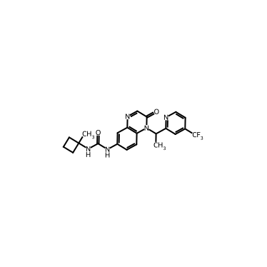 CC(c1cc(C(F)(F)F)ccn1)n1c(=O)cnc2cc(NC(=O)NC3(C)CCC3)ccc21